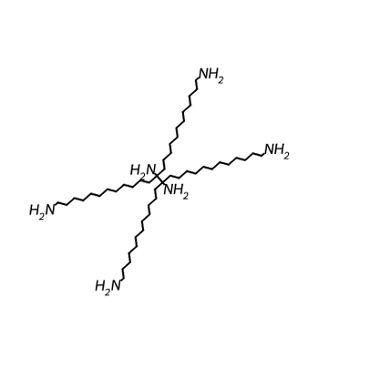 NCCCCCCCCCCCCC(N)(CCCCCCCCCCCCN)C(N)(CCCCCCCCCCCCN)CCCCCCCCCCCCN